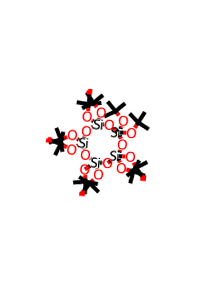 CC(C)(C)O[Si]1(OC(C)(C)C)O[Si](OC(C)(C)C)(OC(C)(C)C)O[Si](OC(C)(C)C)(OC(C)(C)C)O[Si](OC(C)(C)C)(OC(C)(C)C)O[Si](OC(C)(C)C)(OC(C)(C)C)O1